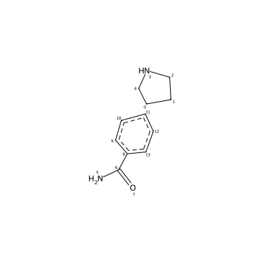 C1CCNC1.NC(=O)c1ccccc1